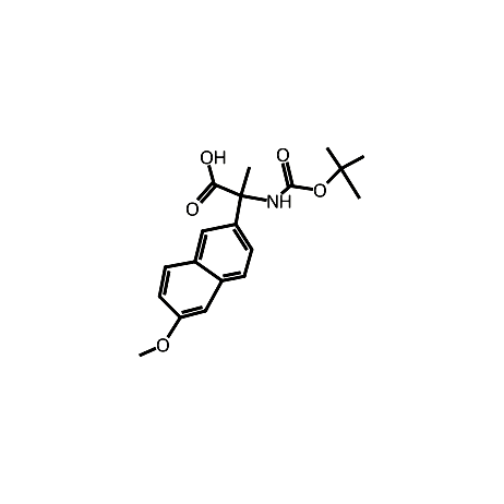 COc1ccc2cc(C(C)(NC(=O)OC(C)(C)C)C(=O)O)ccc2c1